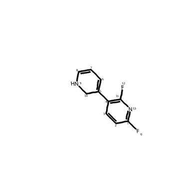 Fc1ccc(C2=CC=CNC2)c(F)n1